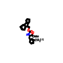 COC(=O)C(Cc1cccc(C(=O)O)c1)NC(=O)OCC1c2ccccc2-c2ccccc21